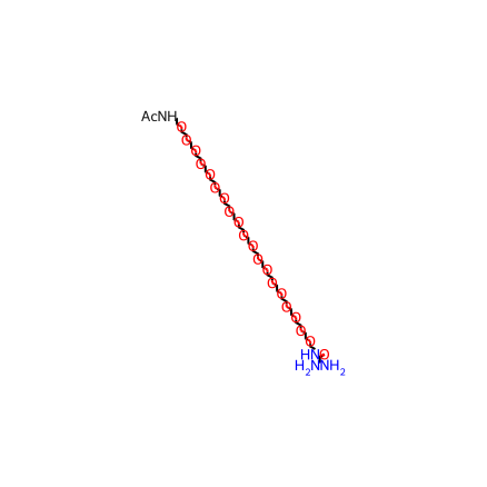 CC(=O)NCCOCCOCCOCCOCCOCCOCCOCCOCCOCCOCCOCCOCCOCCOCCOCCOCCOCCOCCOCCNC(=O)C(N)N